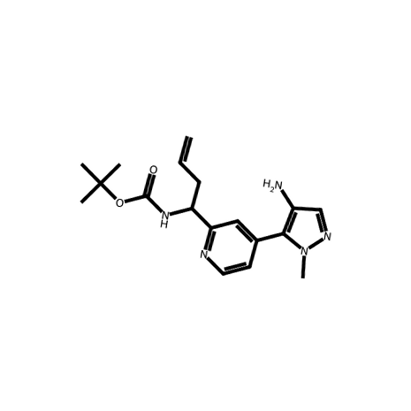 C=CCC(NC(=O)OC(C)(C)C)c1cc(-c2c(N)cnn2C)ccn1